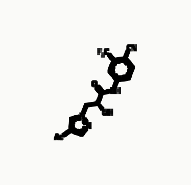 CC(=O)c1cnn(C[C@H](O)C(=O)Nc2ccc(C#N)c(C(F)(F)F)c2)c1